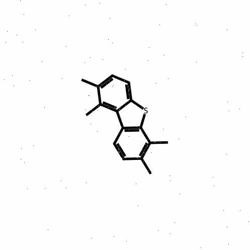 Cc1ccc2c(sc3ccc(C)c(C)c32)c1C